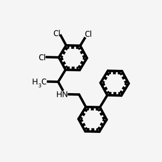 CC(NCc1ccccc1-c1ccccc1)c1ccc(Cl)c(Cl)c1Cl